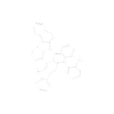 CC1(C)c2ccccc2-c2cc3c4c(c21)-c1cccc2c5c6ccccc6ccc5n(c12)B4c1cccc2c1N3c1ccccc1[Si]2(C)C